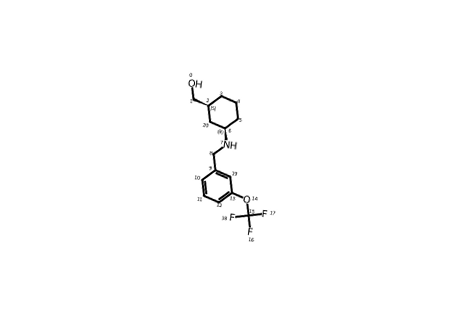 OC[C@H]1CCC[C@@H](NCc2cccc(OC(F)(F)F)c2)C1